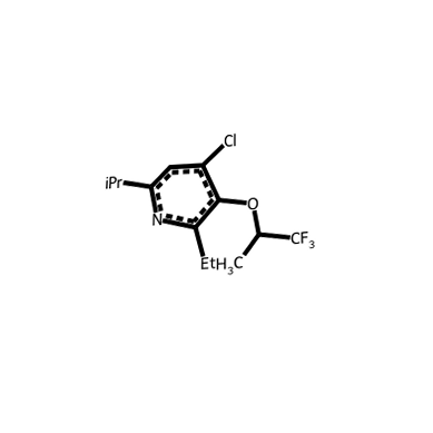 CCc1nc(C(C)C)cc(Cl)c1OC(C)C(F)(F)F